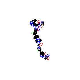 Cn1nc(N2CCC(=O)NC2=O)c2ccc([C@@H]3CCN(CC(=O)N4CCN(c5ccc(-c6cc(F)c7c(c6)C(=O)N(C(C(=O)Nc6nccs6)c6ncn8c6CCC8)C7)cc5)CC4)C[C@@H]3F)cc21